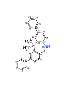 CC1(C)c2cc(-c3ccccc3)ccc2CNc2ccc(-c3ccccc3)cc21